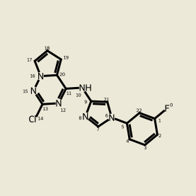 Fc1cccc(-n2cnc(Nc3nc(Cl)nn4cccc34)c2)c1